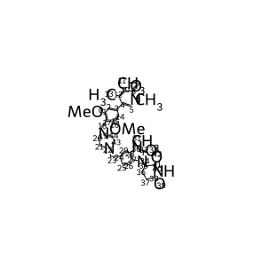 COc1cc(-c2cn(C)c(=O)c(C)c2C)cc(OC)c1CN1CCN(Cc2ccc3c(c2)n(C)c(=O)n3C2CCC(=O)NC2=O)CC1